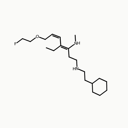 CCC(/C=C\COCCF)=C(\CCNCCC1CCCCC1)NC